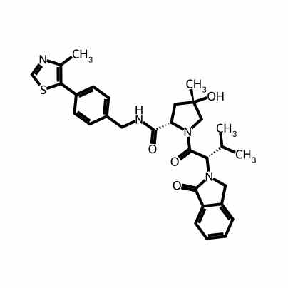 Cc1ncsc1-c1ccc(CNC(=O)[C@@H]2C[C@](C)(O)CN2C(=O)[C@H](C(C)C)N2Cc3ccccc3C2=O)cc1